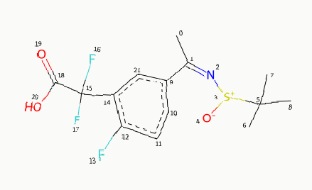 C/C(=N/[S+]([O-])C(C)(C)C)c1ccc(F)c(C(F)(F)C(=O)O)c1